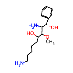 COC(C(O)CCCCCN)[C@@H](N)[C@@H](O)c1ccccc1